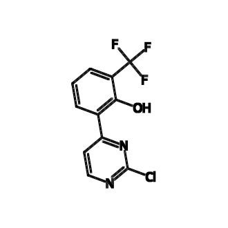 Oc1c(-c2ccnc(Cl)n2)cccc1C(F)(F)F